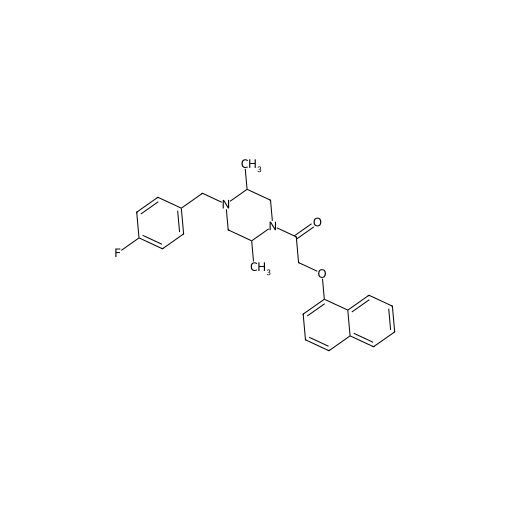 CC1CN(C(=O)COc2cccc3ccccc23)C(C)CN1Cc1ccc(F)cc1